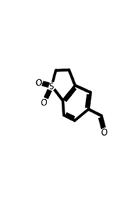 O=Cc1ccc2c(c1)CCS2(=O)=O